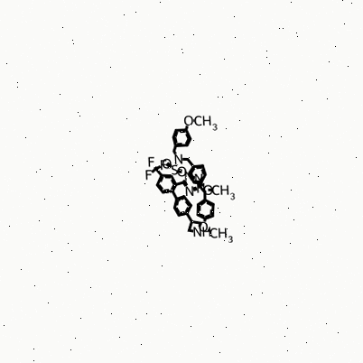 COc1ccc(CN(Cc2ccc(OC)cc2)S(=O)(=O)c2c(C(F)(F)F)ccc(-c3ccc(C4CNC4)cc3)c2-c2nnn(Cc3ccc(OC)cc3)n2)cc1